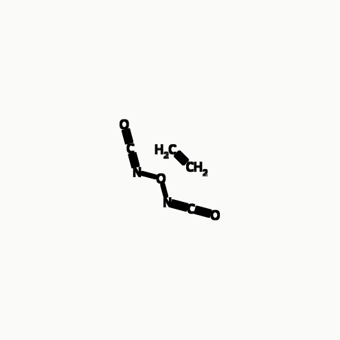 C=C.O=C=NON=C=O